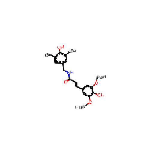 CCCC(C)Oc1cc(/C=C/C(=O)NCc2cc(C(C)(C)C)c(O)c(C(C)(C)C)c2)cc(OC(C)CCC)c1O